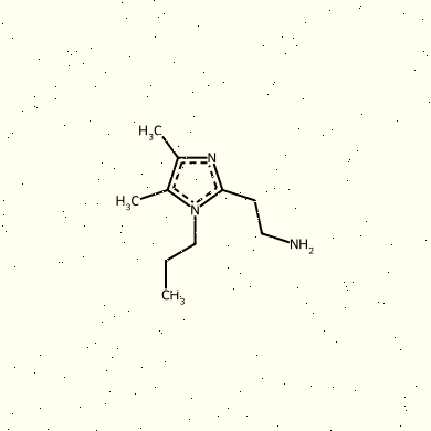 CCCn1c(CCN)nc(C)c1C